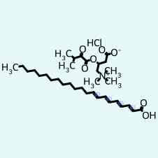 CC(C)C(=O)C(=O)OC(CC(=O)[O-])C[N+](C)(C)C.CCCCCCCCCCCCC/C=C/C=C/C=C/C=C/C(=O)O.Cl